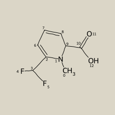 CN1C(C(F)F)=CC=CC1C(=O)O